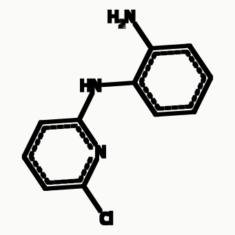 Nc1ccccc1Nc1cccc(Cl)n1